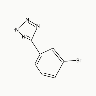 Brc1cccc(C2=N[N]N=N2)c1